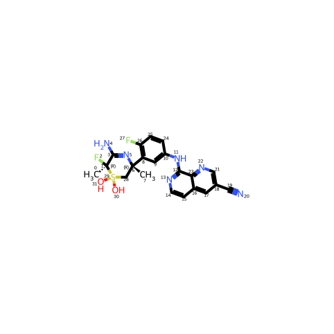 C[C@]1(F)C(N)=N[C@](C)(c2cc(Nc3nccc4cc(C#N)cnc34)ccc2F)CS1(O)O